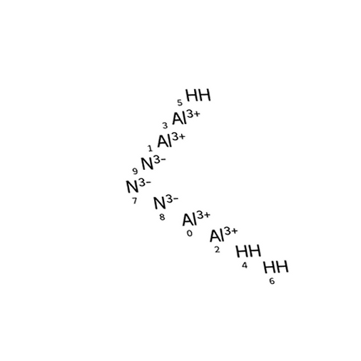 [Al+3].[Al+3].[Al+3].[Al+3].[HH].[HH].[HH].[N-3].[N-3].[N-3]